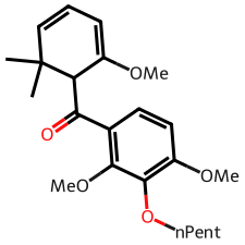 CCCCCOc1c(OC)ccc(C(=O)C2C(OC)=CC=CC2(C)C)c1OC